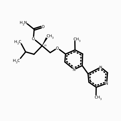 Cc1cc(-c2cc(C)c(OC[C@](C)(CC(C)C)OC(N)=O)cn2)ncn1